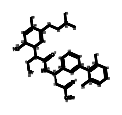 COC(=O)C[C@H](NC(=O)C(CC(C)C)C1C=C(CCN(C)C)C(C)=CC1O)c1cccc(-c2c(C)cccc2C)c1